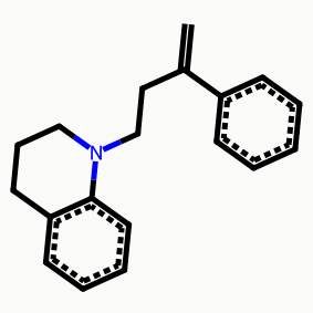 C=C(CCN1CCCc2ccccc21)c1ccccc1